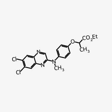 CCOC(=O)C(C)Oc1ccc(N(C)c2cnc3cc(Cl)c(Cl)cc3n2)cc1